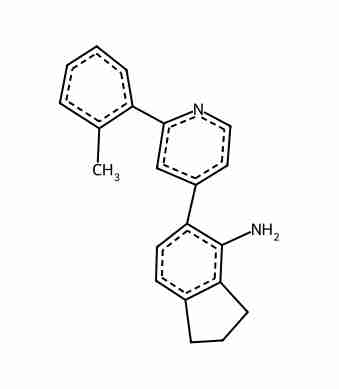 Cc1ccccc1-c1cc(-c2ccc3c(c2N)CCC3)ccn1